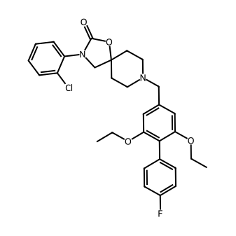 CCOc1cc(CN2CCC3(CC2)CN(c2ccccc2Cl)C(=O)O3)cc(OCC)c1-c1ccc(F)cc1